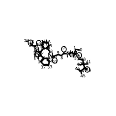 CCC(C)(CNC(=O)CCC(=O)N1Cc2ccccc2-c2c(ncn2C(O)COC)-c2ccccc21)OCCC(C)(C)C(=O)C(C)C